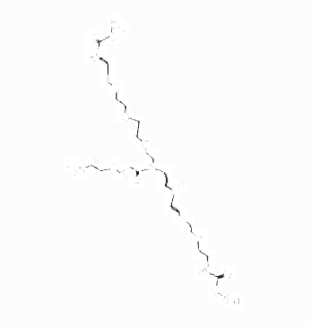 CC(C)(C)OC(=O)NCCOCCOCCOCCN(CCOCCOCCOCCNC(=O)OC(C)(C)C)C(=O)CCOCCN